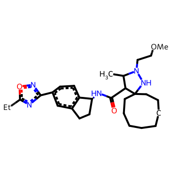 CCc1nc(-c2ccc3c(c2)CC[C@H]3NC(=O)C2C(C)N(CCOC)NC23CCCCCCCC3)no1